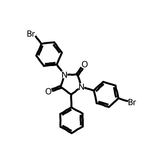 O=C1C(c2ccccc2)N(c2ccc(Br)cc2)C(=O)N1c1ccc(Br)cc1